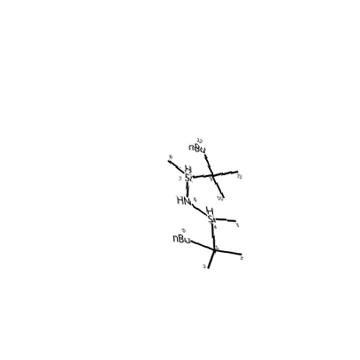 CCCCC(C)(C)[SiH](C)N[SiH](C)C(C)(C)CCCC